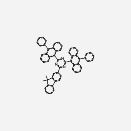 CC1(C)c2ccccc2-c2ccc(-c3nc(-c4c5ccccc5c(-c5ccccc5)c5ccccc45)nc(-c4c5ccccc5c(-c5ccccc5)c5ccccc45)n3)cc21